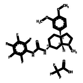 COc1ccc([C@@]23CC[C@@H](NC(=O)Nc4c(F)c(F)c(F)c(F)c4F)C[C@@H]2N(C)CC3)cc1OC.O=C(O)C(F)(F)F